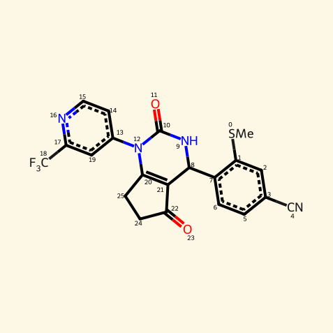 CSc1cc(C#N)ccc1C1NC(=O)N(c2ccnc(C(F)(F)F)c2)C2=C1C(=O)CC2